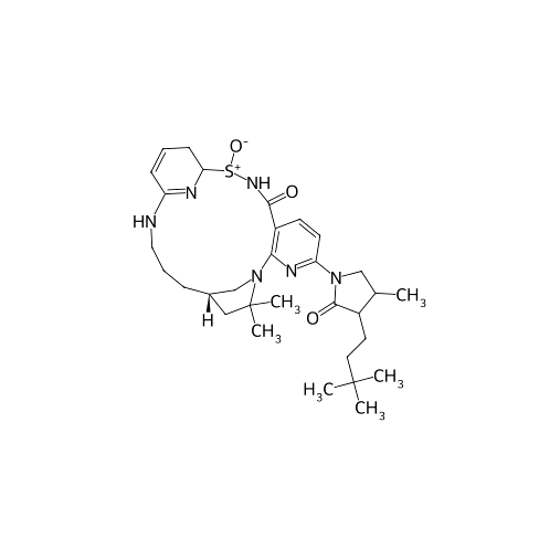 CC1CN(c2ccc3c(n2)N2C[C@@H](CCCNC4=NC(CC=C4)[S+]([O-])NC3=O)CC2(C)C)C(=O)C1CCC(C)(C)C